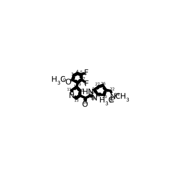 COc1ccc(F)c(F)c1-c1cncc(C(=O)c2nc3cc(CN(C)C)ccc3[nH]2)c1